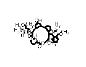 CCn1c(-c2ccccc2COC)c2c3cc(ccc31)-c1cc(O)cc(c1)C[C@H](NC(=O)C(C(C)C)N(C)C=O)C(=O)N1CCC[C@H](N1)C(=O)OCC(C)(C)C2